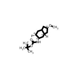 CO[C@H]1CC2C[C@@H](F)[C@@H](NC(=O)OC(C)(C)C)C[C@H]2C1